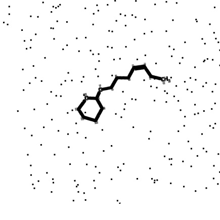 CC/C=C\CCCOC1CCCCO1